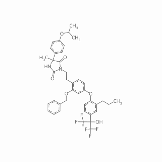 CCCc1cc(C(O)(C(F)(F)F)C(F)(F)F)ccc1Oc1ccc(CCN2C(=O)NC(C)(c3ccc(OC(C)C)cc3)C2=O)c(OCc2ccccc2)c1